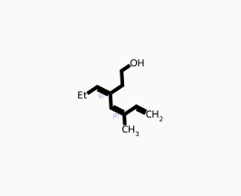 C=C/C(C)=C\C(=C/CC)CCO